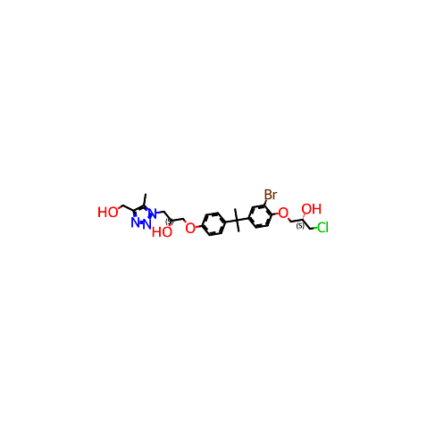 Cc1c(CO)nnn1C[C@H](O)COc1ccc(C(C)(C)c2ccc(OC[C@H](O)CCl)c(Br)c2)cc1